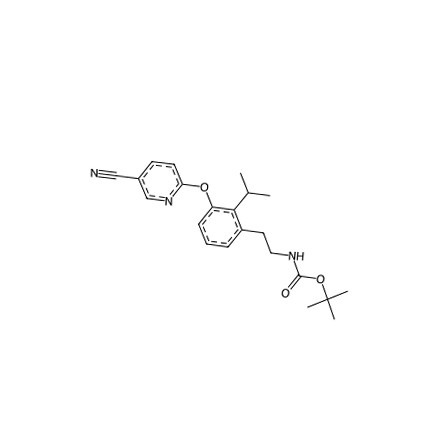 CC(C)c1c(CCNC(=O)OC(C)(C)C)cccc1Oc1ccc(C#N)cn1